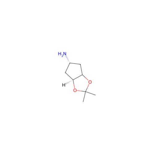 CC1(C)OC2C[C@@H](N)C[C@@H]2O1